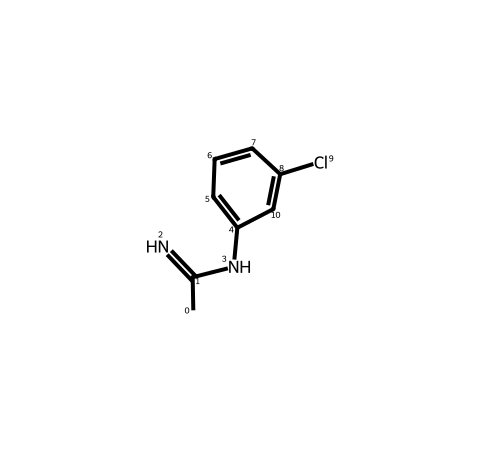 CC(=N)Nc1cccc(Cl)c1